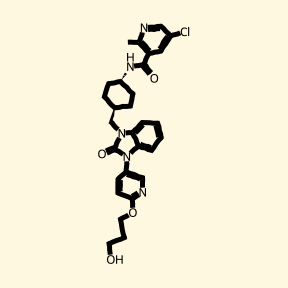 Cc1ncc(Cl)cc1C(=O)N[C@H]1CC[C@H](Cn2c(=O)n(-c3ccc(OCCCO)nc3)c3ccccc32)CC1